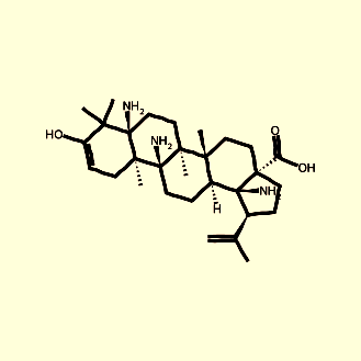 C=C(C)[C@@H]1CC[C@]2(C(=O)O)CC[C@]3(C)[C@H](CC[C@]4(N)[C@@]5(C)CC=C(O)C(C)(C)[C@]5(N)CC[C@]43C)[C@@]12N